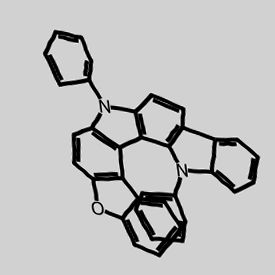 c1ccc(-n2c3ccc4oc5ccccc5c4c3c3c2ccc2c4ccccc4n(-c4ccccc4)c23)cc1